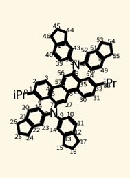 CC(C)c1ccc2c(c1)c(N(c1ccc3c(c1)CCC3)c1ccc3c(c1)CCC3)cc1c3ccc(C(C)C)cc3c(N(c3ccc4c(c3)CCC4)c3ccc4c(c3)CCC4)cc21